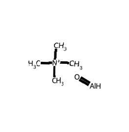 C[N+](C)(C)C.[O]=[AlH]